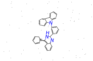 C1=CC[C@@H](C2=c3ccccc3=NC(c3cccc(-n4c5ccccc5c5ccccc54)c3)N2)C=C1